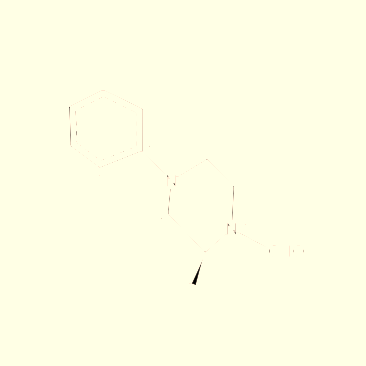 C[C@H]1CN(c2ccccc2)CCN1C=O